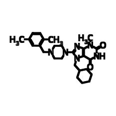 Cc1ccc(C)c(CN2CCN(c3nc4c(c(=O)[nH]c(=O)n4C)n3CC3CCCCC3)CC2)c1